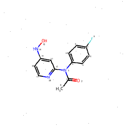 CC(=O)N(c1ccc(F)cc1)c1cc(NO)ccn1